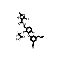 C=CCc1cc(C#N)cc(Oc2c(Cl)ccc(CNC(=O)c3[nH]c(C)nc3Cl)c2F)c1.O=C(O)C(F)(F)F